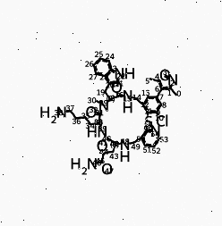 Cc1noc(C)c1-c1cc(Cl)c2c(c1)CNC(=O)[C@H](Cc1c[nH]c3ccccc13)N(C)C(=O)[C@H](CCCCN)NC(=O)[C@H](CCC(N)=O)NCc1cccnc1S2